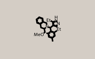 CCc1n[nH]c(CC)c1C(c1c(C)cc(C)cc1C)N1Cc2ccccc2CC1COC